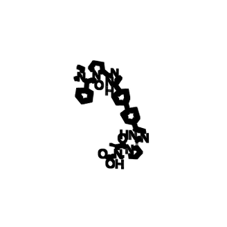 CCN(C)C(C(=O)N1CCCC1c1ncc(-c2ccc(-c3ccc(-c4cnc([C@@H]5CCCN5C(=O)[C@H](C)N(C)C(=O)O)[nH]4)cc3)cc2)[nH]1)c1ccccc1